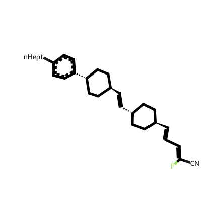 CCCCCCCc1ccc([C@H]2CC[C@H](/C=C/[C@H]3CC[C@H](C=CC=C(F)C#N)CC3)CC2)cc1